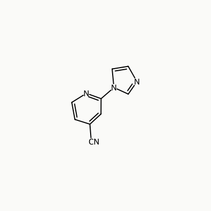 N#Cc1ccnc(-n2ccnc2)c1